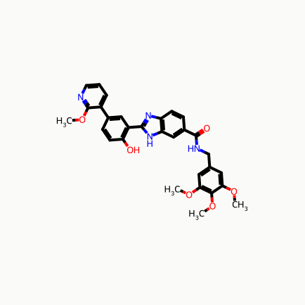 COc1cc(CNC(=O)c2ccc3nc(-c4cc(-c5cccnc5OC)ccc4O)[nH]c3c2)cc(OC)c1OC